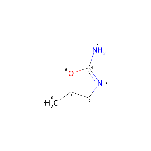 [CH2]C1CN=C(N)O1